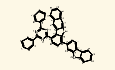 c1ccc(-c2nc(-c3ccccc3)nc(-c3ccc(-c4ccc5c(c4)oc4ccccc45)c4oc5cc6ccccc6cc5c34)n2)cc1